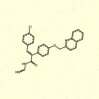 N=CNC(=O)/C(=C/c1ccc(Cl)cc1)c1ccc(OCc2ccc3ccccc3n2)cc1